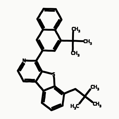 CC(C)(C)Cc1cccc2c1sc1c(-c3cc(C(C)(C)C)c4ccccc4c3)nccc12